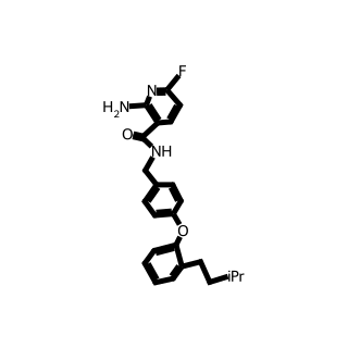 CC(C)CCc1ccccc1Oc1ccc(CNC(=O)c2ccc(F)nc2N)cc1